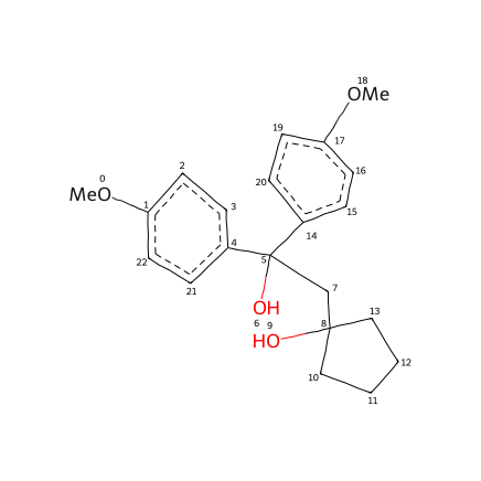 COc1ccc(C(O)(CC2(O)CCCC2)c2ccc(OC)cc2)cc1